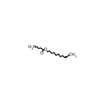 CC/C=C\CCCCCCCCOC(=O)CCCN